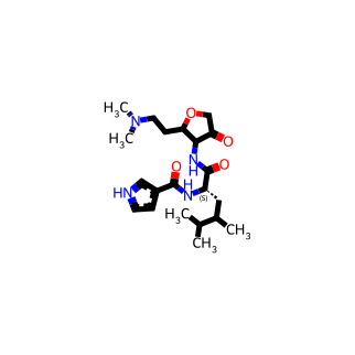 CC(C)C(C)C[C@H](NC(=O)c1cc[nH]c1)C(=O)NC1C(=O)COC1CCN(C)C